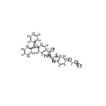 CCOCOc1ccc2nc(NC(=O)c3ccc([S+](c4ccccc4)c4ccccc4)cc3)sc2c1